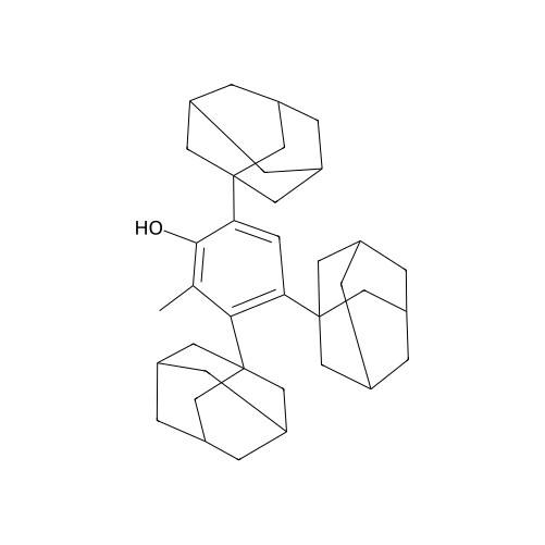 Cc1c(O)c(C23CC4CC(CC(C4)C2)C3)cc(C23CC4CC(CC(C4)C2)C3)c1C12CC3CC(CC(C3)C1)C2